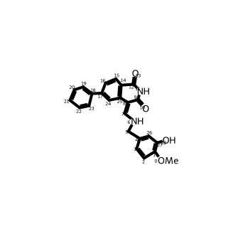 COc1ccc(CN/C=C2\C(=O)NC(=O)c3ccc(-c4ccccc4)cc32)cc1O